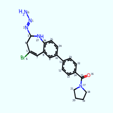 NN=NC1CC(Br)=Cc2cc(-c3ccc(C(=O)N4CCCC4)cc3)ccc2N1